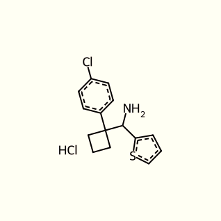 Cl.NC(c1cccs1)C1(c2ccc(Cl)cc2)CCC1